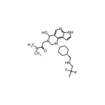 CN(C)C(=O)CN1CN([C@H]2CC[C@H](CNCC(F)(F)F)CC2)c2c(cnc3[nH]ccc23)C1O